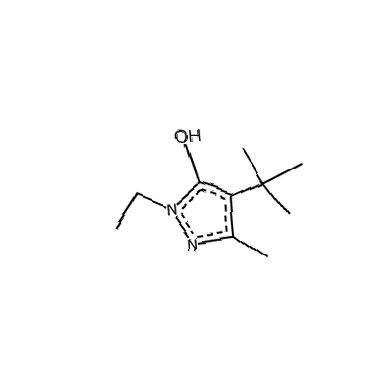 CCn1nc(C)c(C(C)(C)C)c1O